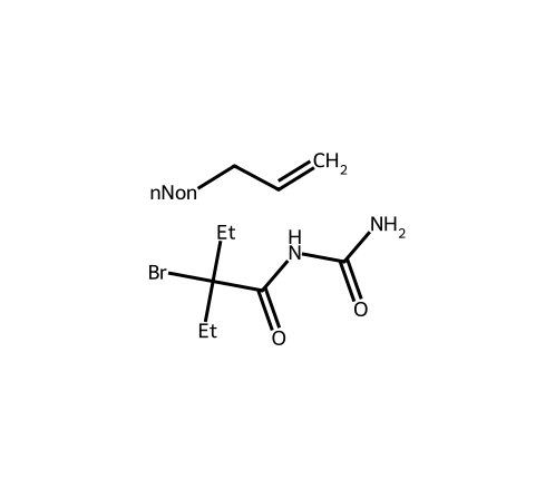 C=CCCCCCCCCCC.CCC(Br)(CC)C(=O)NC(N)=O